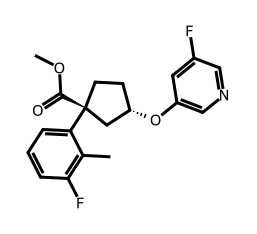 COC(=O)[C@@]1(c2cccc(F)c2C)CC[C@H](Oc2cncc(F)c2)C1